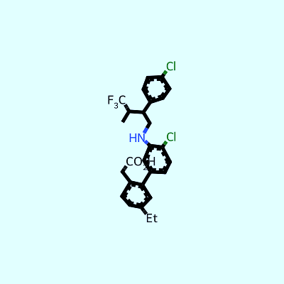 CCc1ccc(CC(=O)O)c(-c2ccc(Cl)c(NCC(c3ccc(Cl)cc3)C(C)C(F)(F)F)c2)c1